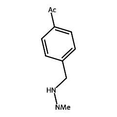 CNNCc1ccc(C(C)=O)cc1